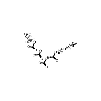 O=C([O-])[O-].O=C([O-])[O-].O=C([O-])[O-].O=C([O-])[O-].[Ca+2].[Ca+2].[Ca+2].[Mg+2].[Mg+2].[Mg+2].[OH-].[OH-].[OH-].[OH-]